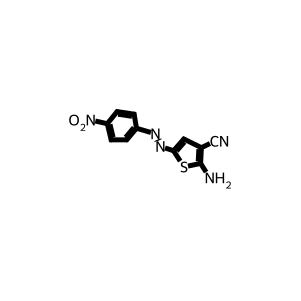 N#Cc1cc(N=Nc2ccc([N+](=O)[O-])cc2)sc1N